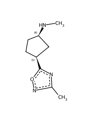 CN[C@@H]1CC[C@H](c2nc(C)no2)C1